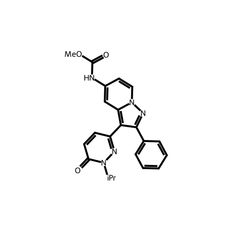 COC(=O)Nc1ccn2nc(-c3ccccc3)c(-c3ccc(=O)n(C(C)C)n3)c2c1